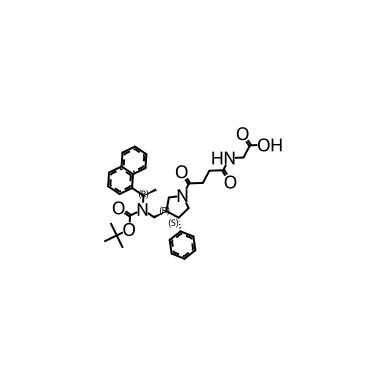 C[C@H](c1cccc2ccccc12)N(C[C@H]1CN(C(=O)CCC(=O)NCC(=O)O)C[C@@H]1c1ccccc1)C(=O)OC(C)(C)C